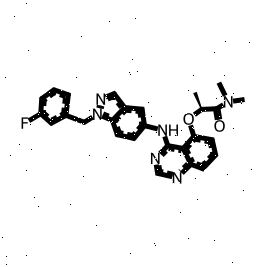 C[C@H](Oc1cccc2ncnc(Nc3ccc4c(cnn4Cc4cccc(F)c4)c3)c12)C(=O)N(C)C